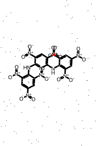 O=[N+]([O-])c1cc([N+](=O)[O-])c(Nc2nc(Nc3c([N+](=O)[O-])cc([N+](=O)[O-])cc3[N+](=O)[O-])c([N+](=O)[O-])cc2[N+](=O)[O-])c([N+](=O)[O-])c1